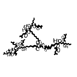 CCCCCC(O)C(CC(O)C(CCCCCCCC(=O)OCC(COC(=O)CCCCCCCC(O)C(CC(OC(C)C(=O)CC(C)C)C(O)CC(OC(C)C(=O)CC(C)C)C(O)CC)OC(C)C(=O)CC(C)C)OC(=O)CCCCCCCC(OC(C)C(=O)CC(C)C)C(O)CC(O)C(CCCCC)OC(C)C(=O)CC(C)C)OC(C)C(=O)CC(C)C)OC(C)C(=O)CC(C)C